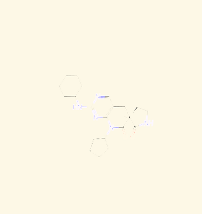 O=C1NCC[C@@]12Cc1cnc(NC3CCCCC3)nc1N(C1CCCC1)C2=O